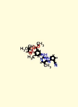 COC(=O)c1cc(Nc2ncc(C)c(NC3CCCC3C#N)n2)cc(C)c1B1OCC(C)(C)O1